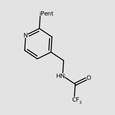 CCCC(C)c1cc(CNC(=O)C(F)(F)F)ccn1